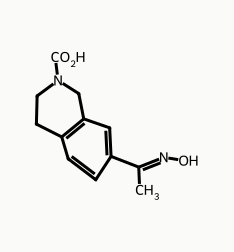 CC(=NO)c1ccc2c(c1)CN(C(=O)O)CC2